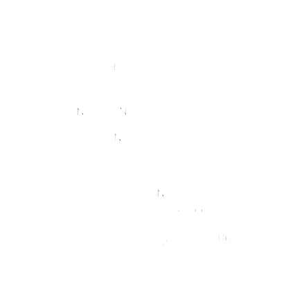 CC(C)(C)OC(=O)N1CCC(n2cnc(C=O)n2)CC1